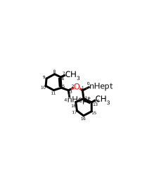 CCCCCCCC(OC(CCCCCCC)C1=C(C)CCCC1)C1=C(C)CCCC1